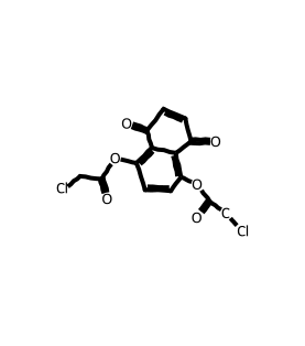 O=C(CCl)Oc1ccc(OC(=O)CCl)c2c1C(=O)C=CC2=O